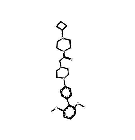 COc1cccc(OC)c1-c1ccc(N2CCN(CC(=O)N3CCN(C4CCC4)CC3)CC2)cc1